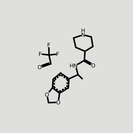 CC(NC(=O)C1CCNCC1)c1ccc2c(c1)OCO2.O=CC(F)(F)F